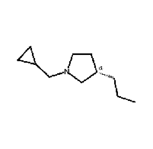 CCC[C@H]1CCN(CC2CC2)C1